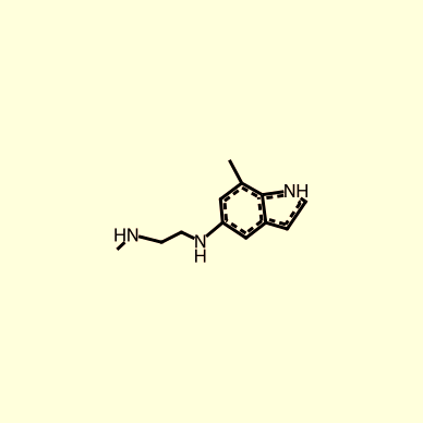 CNCCNc1cc(C)c2[nH]ccc2c1